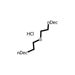 CCCCCCCCCCCCSCCCCCCCCCCCC.Cl